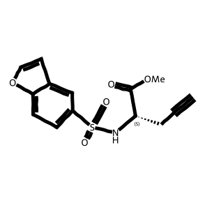 C#CC[C@H](NS(=O)(=O)c1ccc2occc2c1)C(=O)OC